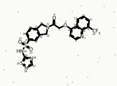 O=C(COc1ccnc2c(C(F)(F)F)cccc12)N1Cc2ccc(S(=O)(=O)Nc3ncns3)cc2C1